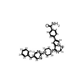 NC(=O)c1ccc(-c2cc3c(N4CCN(c5ncc(Cc6ccccc6)cn5)CC4)ncnn3c2)cc1